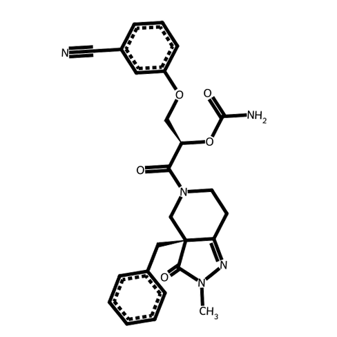 CN1N=C2CCN(C(=O)[C@@H](COc3cccc(C#N)c3)OC(N)=O)C[C@@]2(Cc2ccccc2)C1=O